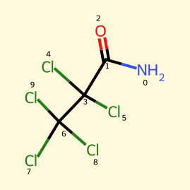 NC(=O)C(Cl)(Cl)C(Cl)(Cl)Cl